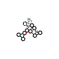 Cc1cccc(-c2cc(-c3ccc4c5ccccc5c5ccccc5c4c3)cc(-c3cccc4c5ccccc5n(-c5ccccc5)c34)c2)c1N(c1ccccc1)C1C=CC=CC1